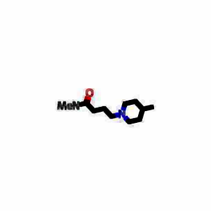 CNC(=O)CCCN1CCC(C)CC1